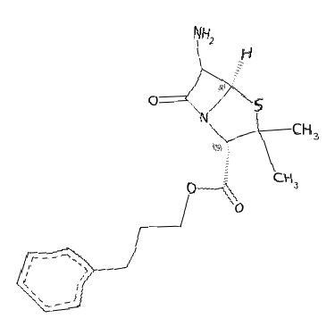 CC1(C)S[C@@H]2C(N)C(=O)N2[C@H]1C(=O)OCCCc1ccccc1